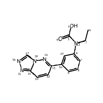 CCN(C(=O)O)c1cccc(-c2ccc3nncn3n2)c1